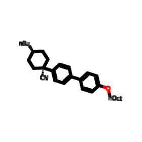 CCCCCCCCOc1ccc(-c2ccc([C@]3(C#N)CC[C@H](CCCC)CC3)cc2)cc1